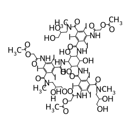 CC(=O)OCC(=O)Nc1c(I)c(C(=O)NC2C(O)C(NC(=O)c3c(I)c(NC(=O)COC(C)=O)c(I)c(C(=O)N(C)CC(O)CO)c3I)C(O)C(NC(=O)c3c(I)c(NC(=O)COC(C)=O)c(I)c(C(=O)N(C)CC(O)CO)c3I)C2O)c(I)c(C(=O)N(C)CC(O)CO)c1I